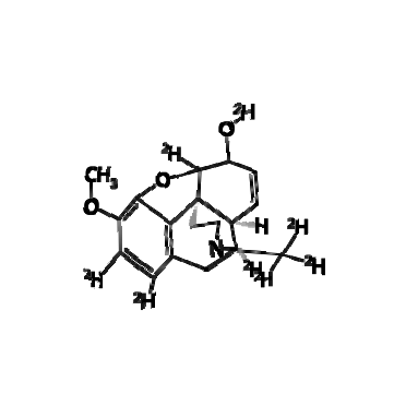 [2H]OC1C=C[C@H]2[C@@]3([2H])Cc4c([2H])c([2H])c(OC)c5c4[C@@]2(CCN3C([2H])([2H])[2H])C1([2H])O5